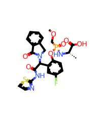 COCP(=O)(N[C@@H](C)C(=O)O)Oc1ccc(F)cc1C(C(=O)Nc1nccs1)N1Cc2ccccc2C1=O